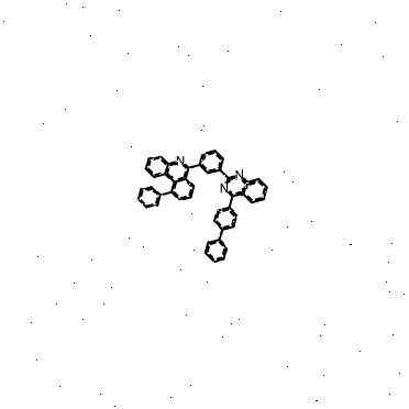 c1ccc(-c2ccc(-c3nc(-c4cccc(-c5nc6ccccc6c6c(-c7ccccc7)cccc56)c4)nc4ccccc34)cc2)cc1